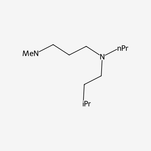 CCCN(CCCNC)CCC(C)C